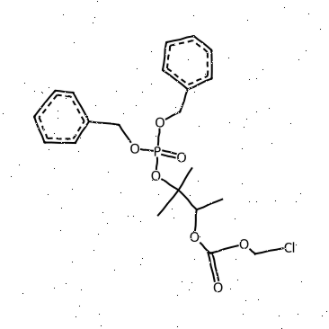 CC(OC(=O)OCCl)C(C)(C)OP(=O)(OCc1ccccc1)OCc1ccccc1